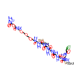 CC(C)(C)SC(NC(=O)CNC(=O)CCl)C(=O)NCC(=O)NCC(=O)NCC(=O)NC(SC(C)(C)C)C(=O)NCC(=O)NC(S)C(=O)NCCOCCOCCOCCNC(=O)COCC(N)=O